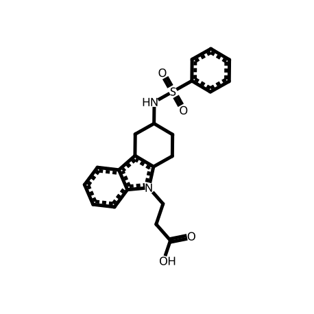 O=C(O)CCn1c2c(c3ccccc31)CC(NS(=O)(=O)c1ccccc1)CC2